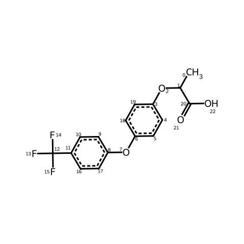 CC(Oc1ccc(Oc2ccc(C(F)(F)F)cc2)cc1)C(=O)O